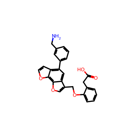 NCc1cccc(-c2cc3c(COc4ccccc4CC(=O)O)coc3c3occc23)c1